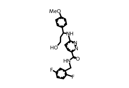 COc1ccc(C(CCO)Nc2ccc(C(=O)NCc3cc(F)ccc3F)nn2)cc1